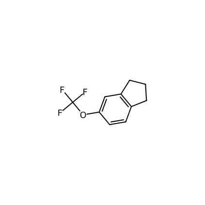 FC(F)(F)Oc1ccc2c(c1)CCC2